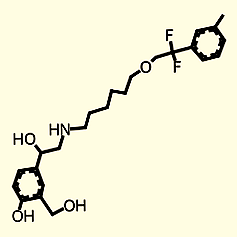 Cc1cccc(C(F)(F)COCCCCCCNCC(O)c2ccc(O)c(CO)c2)c1